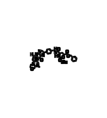 C=N/C=C(NC(=O)c1nc(-c2ccc(CNC(=O)C(CCC(=O)OCc3ccccc3)NC(=O)OC(C)(C)C)cc2)cnc1N)\C(=C/C)N1CCOCC1